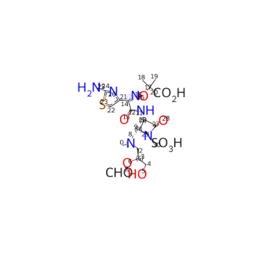 CN(C[C@@H](CO)OC=O)C[C@@H]1[C@H](NC(=O)/C(=N\OC(C)(C)C(=O)O)c2csc(N)n2)C(=O)N1S(=O)(=O)O